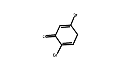 O=C1C=C(Br)CC=C1Br